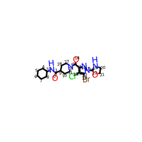 O=C(NC1CCCCC1)C1CCN(C(=O)c2nn(C3NCCO3)c(Br)c2Cl)CC1